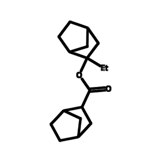 CCC1(OC(=O)C2CC3CCC2C3)CC2CCC1C2